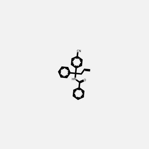 C=CCC(NC(=O)c1ccccc1)(c1ccccc1)c1ccc(C#N)cc1